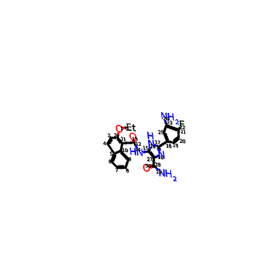 CCOc1ccc2ccccc2c1C(=O)Nc1[nH]c(-c2ccc(F)c(N)c2)nc1C(N)=O